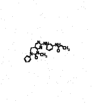 C=CC(=O)Nc1cccc(Nc2ncc3c(n2)N(C)C(=O)N(c2ccccc2)CC3)c1